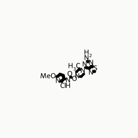 COc1ccc(NC(=O)ON2CCN(c3nc(N)nc4scnc34)[C@@H](C)C2)c(Cl)n1